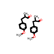 COc1ccc(CC(C)C=O)cc1.COc1ccc(CC(C)C=O)cc1